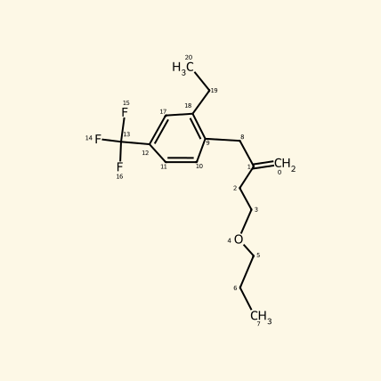 C=C(CCOCCC)Cc1ccc(C(F)(F)F)cc1CC